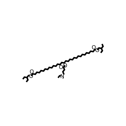 CCC(CC)COC(=O)CCCCCCCCCCCCCCC(CCCCCCCCCCCCCCC(=O)OCC(CC)CC)OC(=O)CCCN(C)CC